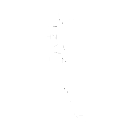 NC1CC2(CCN(CCC3CCN(c4ccc(NC5CCC(=O)NC5=O)cc4F)CC3)CC2)C1